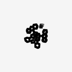 C1=C(C2CCCCC2)[CH]([Ti+2]2([CH]3C(C4CCCCC4)=Cc4c(-c5c6ccccc6cc6ccccc56)cccc43)[CH2]C[CH2]2)c2cccc(-c3c4ccccc4cc4ccccc34)c21.[Cl-].[Cl-]